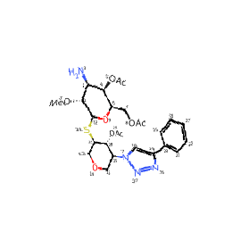 CO[C@@H]1[C@@H](N)[C@@H](OC(C)=O)[C@@H](COC(C)=O)O[C@H]1S[C@@H]1COC[C@H](n2cc(-c3ccccc3)nn2)[C@H]1OC(C)=O